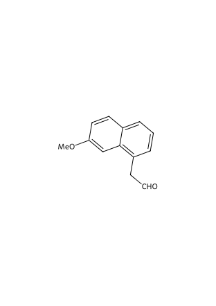 COc1ccc2cccc(CC=O)c2c1